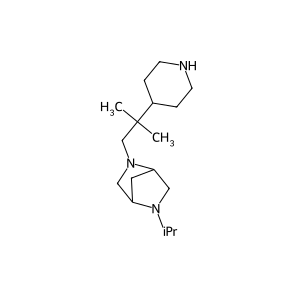 CC(C)N1CC2CC1CN2CC(C)(C)C1CCNCC1